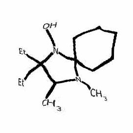 CCC1(CC)C(C)N(C)C2(CCCCC2)N1O